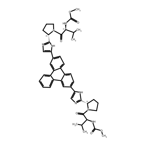 COC(=O)NC(C(=O)N1CCC[C@H]1c1ncc(-c2ccc3c4ccc(-c5cnc([C@@H]6CCCN6C(=O)[C@@H](NC(=O)OC)C(C)C)[nH]5)cc4c4ccccc4c3c2)[nH]1)C(C)C